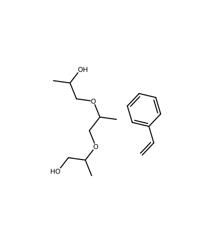 C=Cc1ccccc1.CC(O)COC(C)COC(C)CO